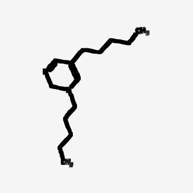 CCCCCC1=CN(CCCCC)CN=C1